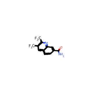 NC(=O)c1ccc2cc(C(F)(F)F)c(C(F)(F)F)nc2c1